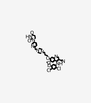 COc1cc(Nc2c(C#N)cnc3cc(OCCCN4CCN(Cc5ccc(N6CCC(=O)NC6=O)cn5)CC4)c(OC)cc23)c(Cl)cc1Cl